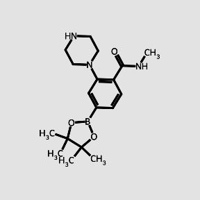 CNC(=O)c1ccc(B2OC(C)(C)C(C)(C)O2)cc1N1CCNCC1